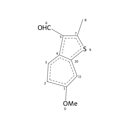 COc1ccc2c(C=O)c(C)sc2c1